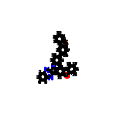 c1ccc2nc3c(nc2c1)c1cc2oc4ccccc4c2c2c4cc(-c5ccc6sc7ccccc7c6c5)ccc4n3c12